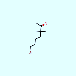 CC(=O)C(C)(C)CCCCBr